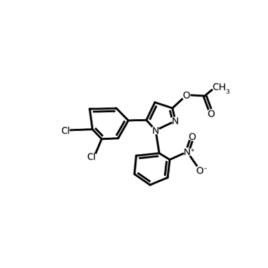 CC(=O)Oc1cc(-c2ccc(Cl)c(Cl)c2)n(-c2ccccc2[N+](=O)[O-])n1